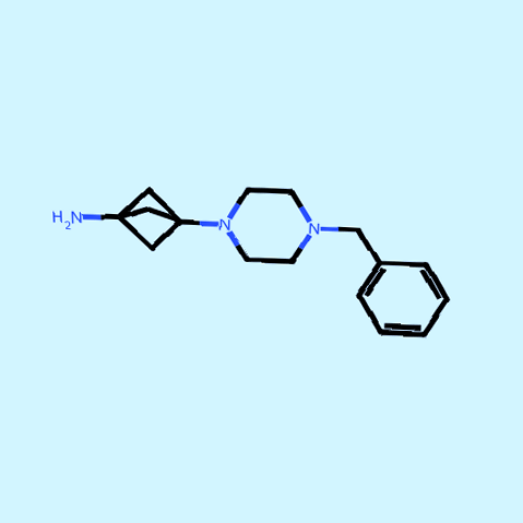 NC12CC(N3CCN(Cc4ccccc4)CC3)(C1)C2